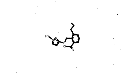 CCCc1cccc(C(=O)Cl)c1COc1ccn(S)n1